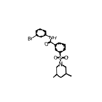 CC1CC(C)CN(S(=O)(=O)c2cccc(C(=O)Nc3cccc(Br)c3)c2)C1